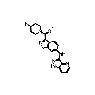 O=C(c1nsc2cc(Nc3n[nH]c4cccnc34)ccc12)N1CCC(F)CC1